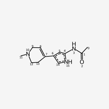 CC(=O)Nc1cc(C2=CCN(C)CC2)c[nH]1